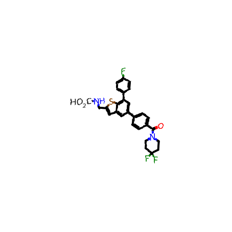 O=C(O)NCc1cc2cc(-c3ccc(C(=O)N4CCC(F)(F)CC4)cc3)cc(-c3ccc(F)cc3)c2s1